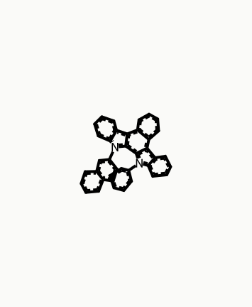 c1ccc(-n2c3ccccc3c3c4ccccc4c4c5ccccc5n(-c5ccc6ccccc6c5)c4c32)cc1